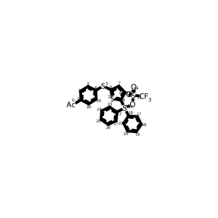 CC(=O)c1ccc(Sc2ccc(S(OS(=O)(=O)C(F)(F)F)(c3ccccc3)c3ccccc3)s2)cc1